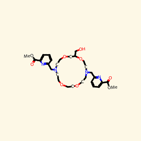 COC(=O)c1cccc(CN2CCOCCOCCN(Cc3cccc(C(=O)OC)n3)CCOC(CO)COCC2)n1